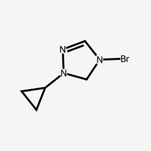 BrN1C=NN(C2CC2)C1